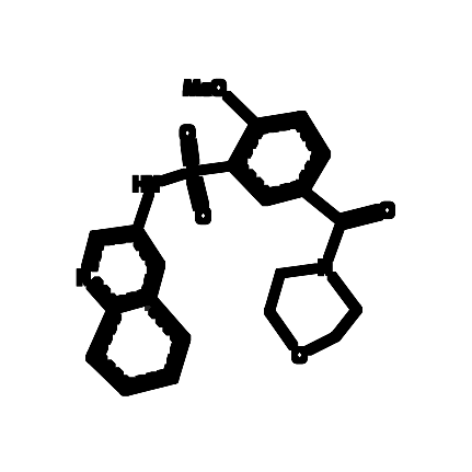 COc1ccc(C(=O)N2CCOCC2)cc1S(=O)(=O)Nc1cnc2ccccc2c1